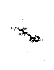 CSC[C@@H](O)[C@@H](O)CNCc1cnc2c[nH]cnc1-2